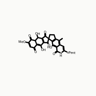 CCCCCc1cc2c(C)c3c(c(O)c2c(=O)[nH]1)C1(CC3)C(=O)C2=C(C1=O)C(O)C1C(=O)C(OC)=CC(=O)C1=C2O